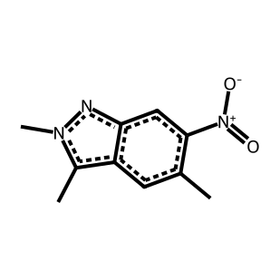 Cc1cc2c(C)n(C)nc2cc1[N+](=O)[O-]